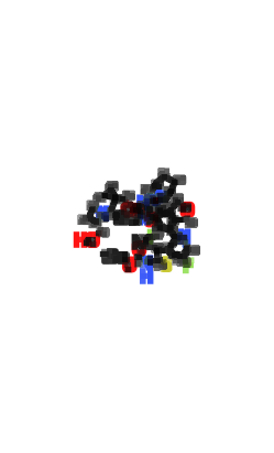 CC(C)(C)OC(=O)Nc1sc2c(F)cnc(-c3c4c(c5c(N6C7CCC6CN(C(=O)OC(C)(C)C)C7)nc(OCC6(CN7CC[C@H]7CO)CC6)nc5c3F)COC4)c2c1C#N